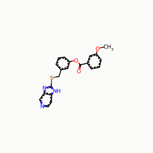 COc1cccc(C(=O)Oc2cccc(CSc3nc4cnccc4[nH]3)c2)c1